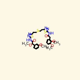 COc1cccc(C(OC)C(=O)Nc2nnc(CCSCCc3nnc(NC(=O)Cc4cccc(OC)c4OC)s3)s2)c1